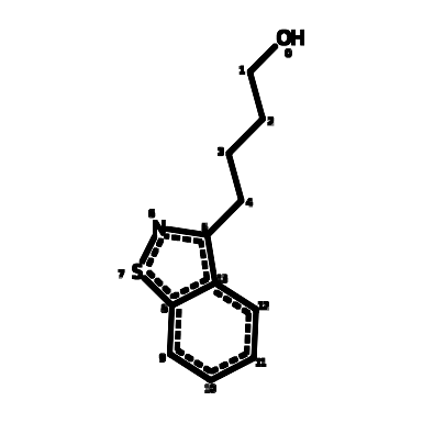 OCCCCc1nsc2ccccc12